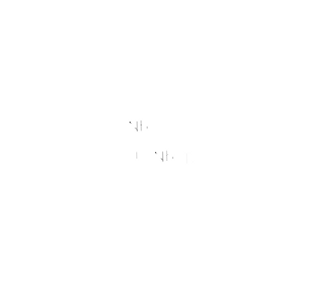 [Nb].[Nb].[Ta].[Ti]